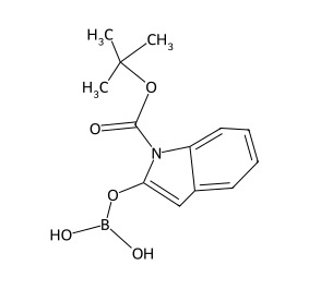 CC(C)(C)OC(=O)n1c(OB(O)O)cc2ccccc21